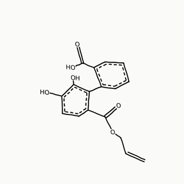 C=CCOC(=O)c1ccc(O)c(O)c1-c1ccccc1C(=O)O